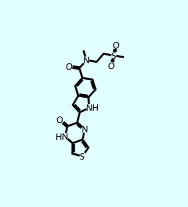 CN(CCS(C)(=O)=O)C(=O)c1ccc2[nH]c(-c3nc4cscc4[nH]c3=O)cc2c1